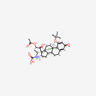 CC(=O)OCC(=O)[C@]1(C(C)NC(=O)O)[C@@H](C)CC2C3CCC4=CC(=O)C=C(O[Si](C)(C)C)[C@]4(C)C3(F)CC[C@@]21C